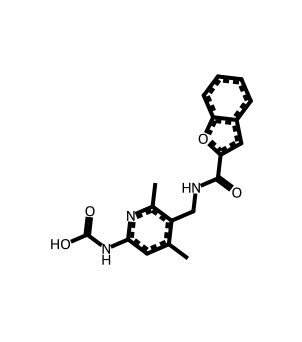 Cc1cc(NC(=O)O)nc(C)c1CNC(=O)c1cc2ccccc2o1